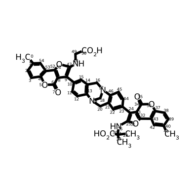 Cc1ccc2oc(=O)c3c(-c4ccc5c(c4)CN4CN5Cc5cc(-c6c(NC(C)(C)C(=O)O)oc7c6c(=O)oc6ccc(C)cc67)ccc54)c(NCC(=O)O)oc3c2c1